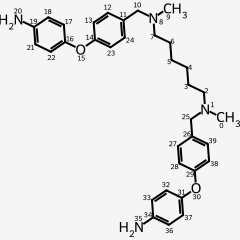 CN(CCCCCCN(C)Cc1ccc(Oc2ccc(N)cc2)cc1)Cc1ccc(Oc2ccc(N)cc2)cc1